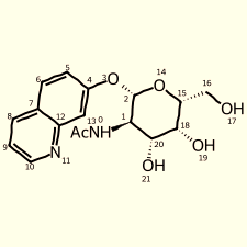 CC(=O)N[C@H]1[C@H](Oc2ccc3cccnc3c2)O[C@H](CO)[C@H](O)[C@@H]1O